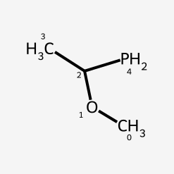 COC(C)P